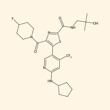 CC(C)(O)CNC(=O)c1nc(C(=O)N2CCC(F)CC2)c(-c2cnc(NC3CCCC3)cc2C(F)(F)F)s1